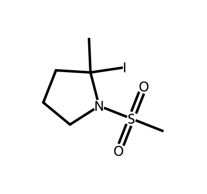 CC1(I)CCCN1S(C)(=O)=O